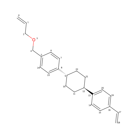 C=CCOCc1ccc([C@H]2CC[C@H](c3ccc(C=C)cc3)CC2)cc1